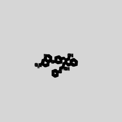 O=[N+]([O-])c1ccc2c(Oc3ccc(C[C@@H](CO)N(Cc4ccccc4)C[C@H](O)COc4ccccc4)cc3)ccnc2c1